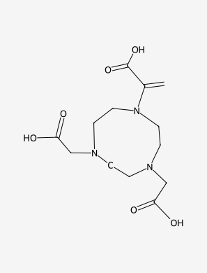 C=C(C(=O)O)N1CCN(CC(=O)O)CCN(CC(=O)O)CC1